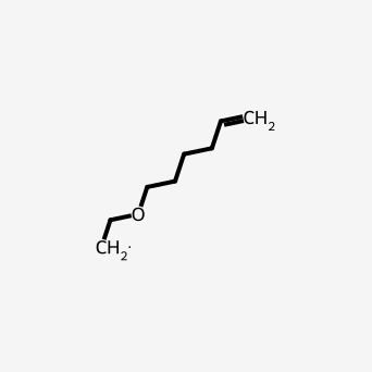 [CH2]COCCCCC=C